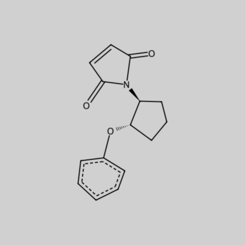 O=C1C=CC(=O)N1[C@H]1CCC[C@@H]1Oc1ccccc1